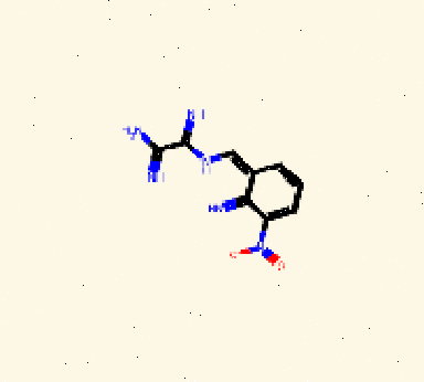 N=C(N)C(=N)N/C=C1/C=CC=C([N+](=O)[O-])C1=N